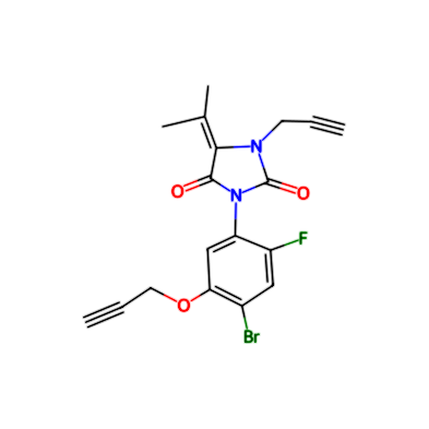 C#CCOc1cc(N2C(=O)C(=C(C)C)N(CC#C)C2=O)c(F)cc1Br